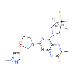 Cc1nc2nc(N3CCO[C@@H](c4cnn(C)c4)C3)nc(N3C[C@@H]4[C@H](C3)C4(F)F)c2nc1C